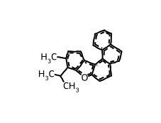 Cc1ccc2c(oc3ccc4ccc5ccccc5c4c32)c1C(C)C